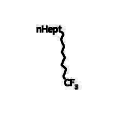 [CH2]CCCCCCCCCCCCCCC(F)(F)F